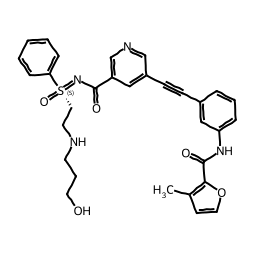 Cc1ccoc1C(=O)Nc1cccc(C#Cc2cncc(C(=O)N=[S@](=O)(CCNCCCO)c3ccccc3)c2)c1